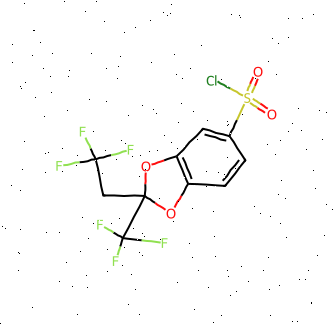 O=S(=O)(Cl)c1ccc2c(c1)OC(CC(F)(F)F)(C(F)(F)F)O2